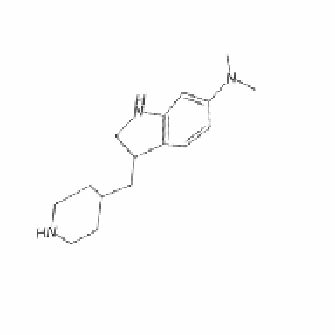 CN(C)c1ccc2c(c1)NCC2CC1CCNCC1